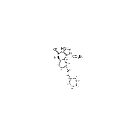 CCOC(=O)c1c[nH]c2c(=O)[nH]c3ccc(SCc4ccccc4)cc3c12